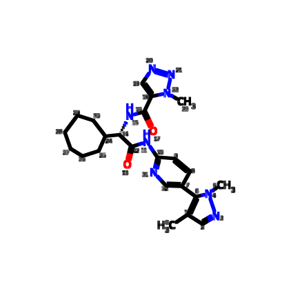 Cc1cnn(C)c1-c1ccc(NC(=O)[C@@H](NC(=O)c2cnnn2C)C2CCCCCC2)nc1